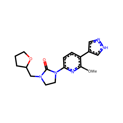 COc1nc(N2CCN(CC3CCCO3)C2=O)ccc1-c1cn[nH]c1